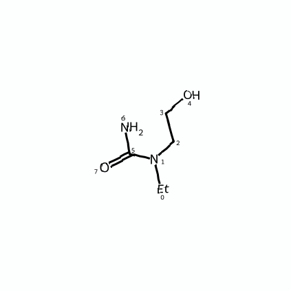 [CH2]CN(CCO)C(N)=O